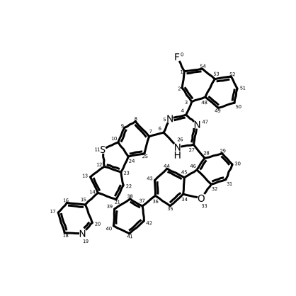 Fc1cc(C2=NC(c3ccc4sc5cc(-c6cccnc6)ccc5c4c3)NC(c3cccc4oc5cc(-c6ccccc6)ccc5c34)=N2)c2ccccc2c1